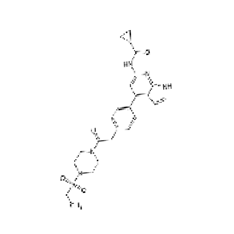 CCS(=O)(=O)N1CCN(C(=O)Cc2ccc(-c3cc(NC(=O)C4CC4)nc4[nH]ccc34)cc2)CC1